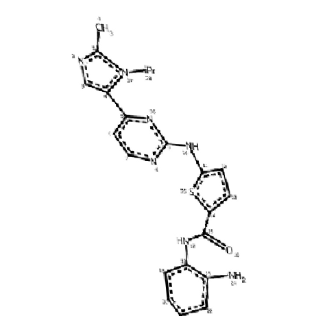 Cc1ncc(-c2ccnc(Nc3ccc(C(=O)Nc4ccccc4N)s3)n2)n1C(C)C